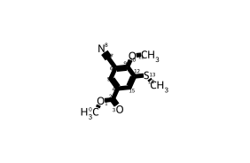 COC(=O)c1cc(C#N)c(OC)c(SC)c1